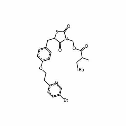 CCc1ccc(CCOc2ccc(CC3SC(=O)N(COC(=O)C(C)CC(C)(C)C)C3=O)cc2)nc1